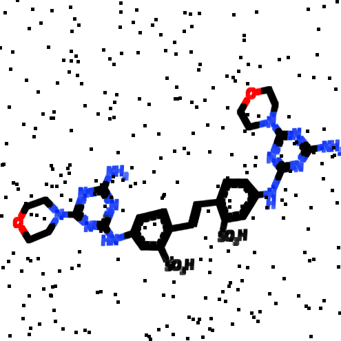 Nc1nc(Nc2ccc(/C=C/c3ccc(Nc4nc(N)nc(N5CCOCC5)n4)cc3S(=O)(=O)O)c(S(=O)(=O)O)c2)nc(N2CCOCC2)n1